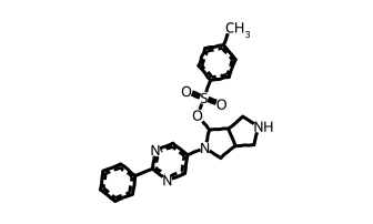 Cc1ccc(S(=O)(=O)OC2C3CNCC3CN2c2cnc(-c3ccccc3)nc2)cc1